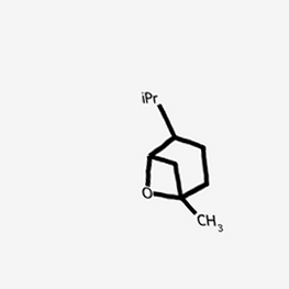 CC(C)C1CCC2(C)CC1O2